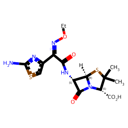 CCO/N=C(\C(=O)N[C@H]1C(=O)N2[C@@H]1SC(C)(C)[C@@H]2C(=O)O)c1csc(N)n1